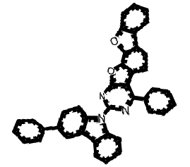 c1ccc(-c2ccc3c(c2)c2ccccc2n3-c2nc(-c3ccccc3)c3c(n2)oc2c3ccc3c4ccccc4oc32)cc1